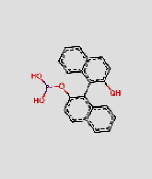 Oc1ccc2ccccc2c1-c1c(OP(O)O)ccc2ccccc12